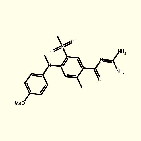 COc1ccc(N(C)c2cc(C)c(C(=O)N=C(N)N)cc2S(C)(=O)=O)cc1